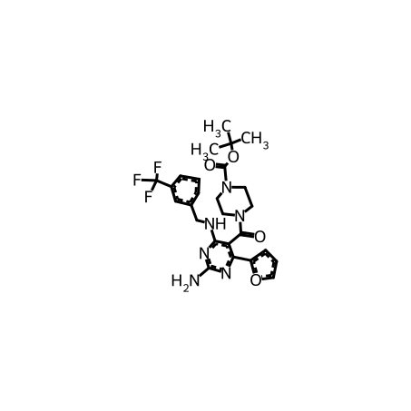 CC(C)(C)OC(=O)N1CCN(C(=O)c2c(NCc3cccc(C(F)(F)F)c3)nc(N)nc2-c2ccco2)CC1